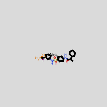 COc1cc(NC(=O)C(C)C2CCCCC2)ccc1S(=O)(=O)Nc1cccc(C(P)(P)I)c1